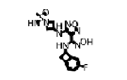 CS(=N)(=O)N1CC(Nc2nonc2C(=NO)NC2Cc3ccc(F)cc32)C1